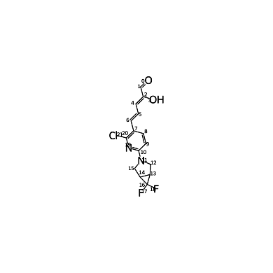 O=C/C(O)=C/C=C/c1ccc(N2CC3C(C2)C3(F)F)nc1Cl